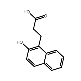 O=C(O)CCc1c(O)ccc2ccccc12